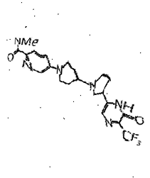 CNC(=O)c1ccc(N2CCC(N3CCC(c4cnc(C(F)(F)F)c(=O)[nH]4)C3)CC2)cn1